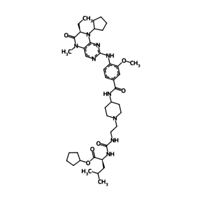 CC[C@@H]1C(=O)N(C)c2cnc(Nc3ccc(C(=O)NC4CCN(CCNC(=O)N[C@@H](CC(C)C)C(=O)OC5CCCC5)CC4)cc3OC)nc2N1C1CCCC1